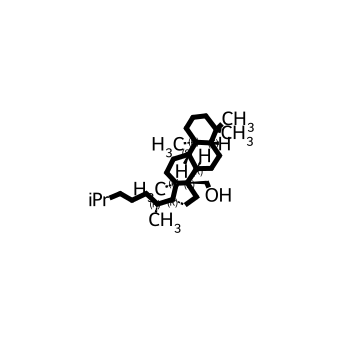 CC(C)CCC[C@@H](C)[C@H]1CC[C@@]2(CO)[C@@H]3CC[C@H]4C(C)(C)CCC[C@]4(C)[C@H]3CC[C@]12C